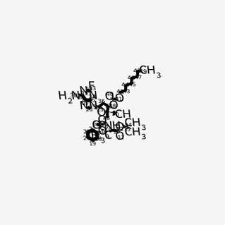 C#C[C@]1(CO[P@@](=O)(N[C@@H](C)C(=O)OC(C)C)Oc2ccccc2)O[C@@H](n2cnc3c(N)nc(F)nc32)C[C@@H]1OC(=O)OCCCCCCCC